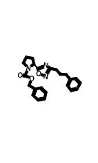 O=C(OCc1ccccc1)N1CCC[C@H]1c1nc(CCCc2ccccc2)no1